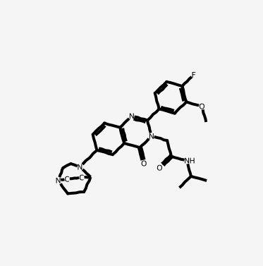 COc1cc(-c2nc3ccc(N4CCN5CCC4CC5)cc3c(=O)n2CC(=O)NC(C)C)ccc1F